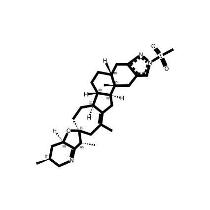 CC1=C2C[C@H]3[C@@H](CC[C@@H]4Cc5nn(S(C)(=O)=O)cc5C[C@@]43C)[C@@H]2CC[C@@]2(C1)O[C@@H]1C[C@H](C)CN=C1[C@H]2C